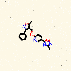 Cc1noc(-c2ccc(OCc3c(-c4ccccc4)noc3C)nc2)n1